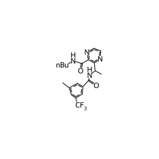 CCCCNC(=O)c1nccnc1C(C)NC(=O)c1cc(C)cc(C(F)(F)F)c1